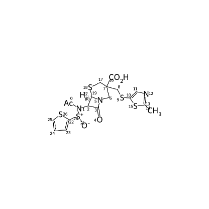 CC(=O)N(C1C(=O)N2CC(CSc3cnc(C)s3)(C(=O)O)CS[C@H]12)[S+]([O-])c1cccs1